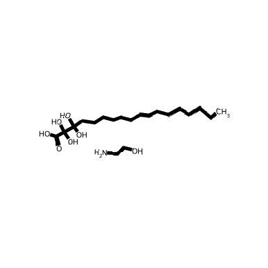 CCCCCCCCCCCCCCCC(O)(O)C(O)(O)C(=O)O.NCCO